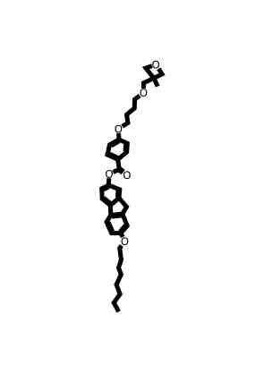 CCCCCCCCOc1ccc2c(c1)Cc1cc(OC(=O)c3ccc(OCCCCOCC4(C)COC4)cc3)ccc1-2